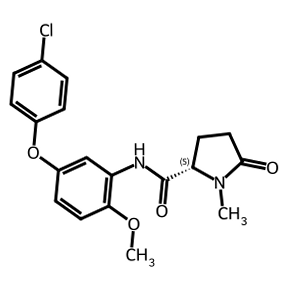 COc1ccc(Oc2ccc(Cl)cc2)cc1NC(=O)[C@@H]1CCC(=O)N1C